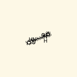 O=C(Cc1ccccc1)NCCCCCC(=O)Nc1ccccc1